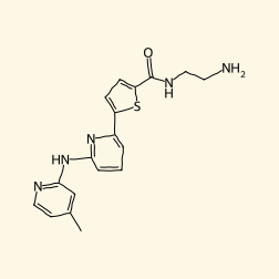 Cc1ccnc(Nc2cccc(-c3ccc(C(=O)NCCN)s3)n2)c1